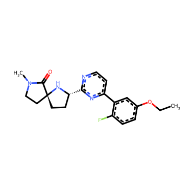 CCOc1ccc(F)c(-c2ccnc([C@@H]3CC[C@]4(CCN(C)C4=O)N3)n2)c1